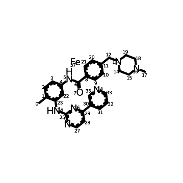 Cc1ccc(NC(=O)c2ccc(CN3CCN(C)CC3)cc2)cc1Nc1nccc(-c2cccnc2)n1.[Fe]